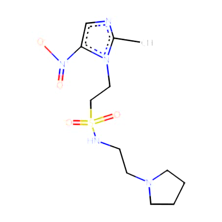 Cc1ncc([N+](=O)[O-])n1CCS(=O)(=O)NCCN1CCCC1